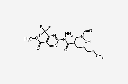 CCCCCC(CN(O)C=O)C(=O)N(N)c1ncc(C(=O)OC)c(C(F)(F)F)n1